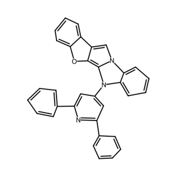 c1ccc(-c2cc(-n3c4ccccc4n4cc5c6ccccc6oc5c34)cc(-c3ccccc3)n2)cc1